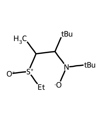 CC[S+]([O-])C(C)C(N([O])C(C)(C)C)C(C)(C)C